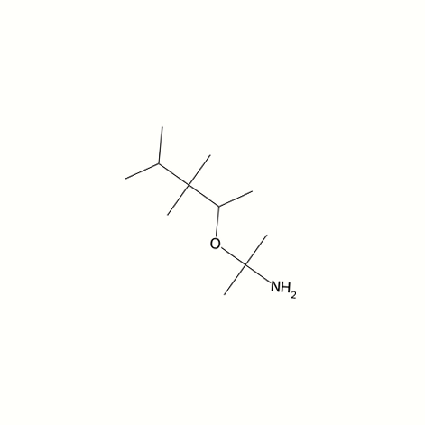 CC(C)C(C)(C)C(C)OC(C)(C)N